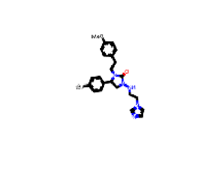 COc1ccc(CCN2C(=O)N(NCCn3ccnc3)CC2c2ccc(C(C)(C)C)cc2)cc1